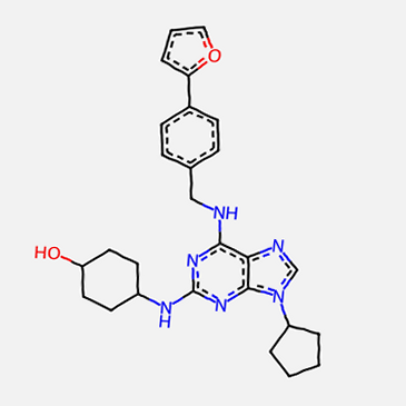 OC1CCC(Nc2nc(NCc3ccc(-c4ccco4)cc3)c3ncn(C4CCCC4)c3n2)CC1